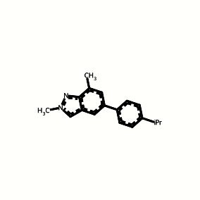 Cc1cc(-c2ccc(C(C)C)cc2)cc2cn(C)nc12